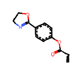 C=CC(=O)Oc1ccc(C2=NCCO2)cc1